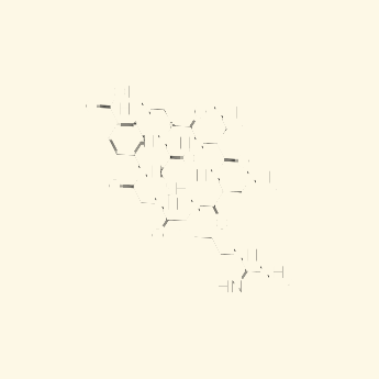 C[C@@H](NC(=O)[C@@H](CCCNC(=N)N)NC(=O)[C@H](CN)NC(=O)[C@H](CN)NC(=O)[C@H](CN)NC(=O)CS)C(=O)Nc1ccc(C(=O)O)cc1